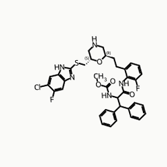 COC(=O)NC(C(=O)Nc1c(F)cccc1CC[C@@H]1CNC[C@@H](CSc2nc3cc(F)c(Cl)cc3[nH]2)O1)C(c1ccccc1)c1ccccc1